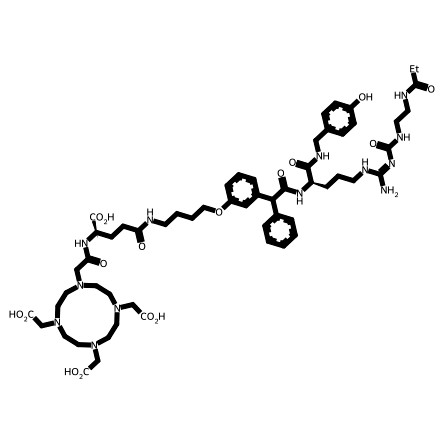 CCC(=O)NCCNC(=O)/N=C(/N)NCCC[C@@H](NC(=O)C(c1ccccc1)c1cccc(OCCCCNC(=O)CC[C@@H](NC(=O)CN2CCN(CC(=O)O)CCN(CC(=O)O)CCN(CC(=O)O)CC2)C(=O)O)c1)C(=O)NCc1ccc(O)cc1